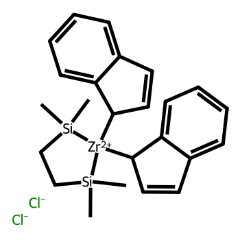 C[Si]1(C)CC[Si](C)(C)[Zr+2]1([CH]1C=Cc2ccccc21)[CH]1C=Cc2ccccc21.[Cl-].[Cl-]